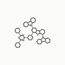 c1ccc(-c2nc(-c3ccccc3)nc(-c3cccc(-c4cc(-n5c6ccccc6c6ccccc65)cc5c4sc4c(-n6c7ccccc7c7ccccc76)cccc45)c3)n2)cc1